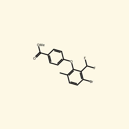 COC(=O)c1ccc(Oc2c(C)ccc(Br)c2C(F)F)cc1